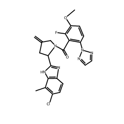 C=C1CC(c2nc3ccc(Cl)c(C)c3[nH]2)N(C(=O)c2c(-n3nccn3)ccc(OC)c2F)C1